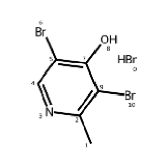 Br.Cc1ncc(Br)c(O)c1Br